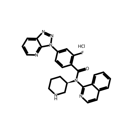 Cl.O=C(c1ccc(-n2nnc3cccnc32)cc1F)N(c1nccc2ccccc12)[C@@H]1CCCNC1